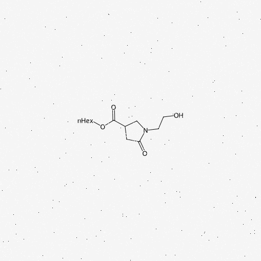 CCCCCCOC(=O)C1CC(=O)N(CCO)C1